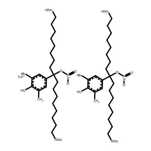 CCCCCCCCCCCCCCCCCCC(CCCCCCCCCCCCCCCCCC)(O[PH](=O)[O-])c1cc(C)c(O)c(C(C)(C)C)c1.CCCCCCCCCCCCCCCCCCC(CCCCCCCCCCCCCCCCCC)(O[PH](=O)[O-])c1cc(C)c(O)c(C(C)(C)C)c1.[Ca+2]